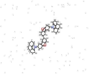 c1cc2ccc3cccc4c3c2c(c1)n4-c1ccc2oc3ccc(-c4ccc5oc6ccc(-n7c8cccc9ccc%10cccc7c%10c98)cc6c5c4)cc3c2c1